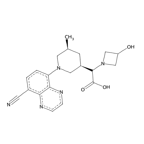 C[C@H]1C[C@@H](C(C(=O)O)N2CC(O)C2)CN(c2ccc(C#N)c3nccnc23)C1